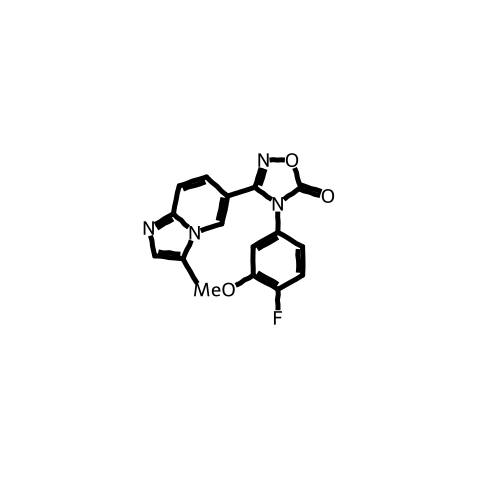 COc1cc(-n2c(-c3ccc4ncc(C)n4c3)noc2=O)ccc1F